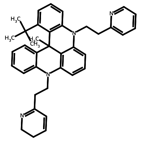 CC(C)(C)c1cccc2c1C1(C)c3ccccc3N(CCC3=NCCC=C3)c3cccc(c31)N2CCc1ccccn1